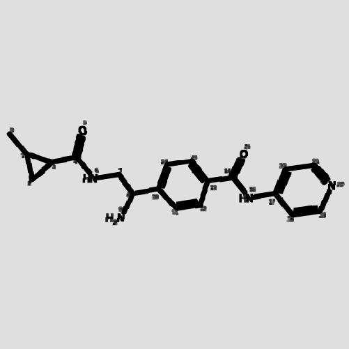 CC1CC1C(=O)NCC(N)c1ccc(C(=O)Nc2ccncc2)cc1